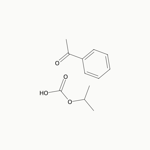 CC(=O)c1ccccc1.CC(C)OC(=O)O